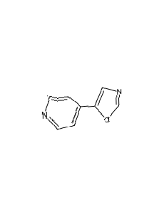 [c]1cc(-c2cnco2)ccn1